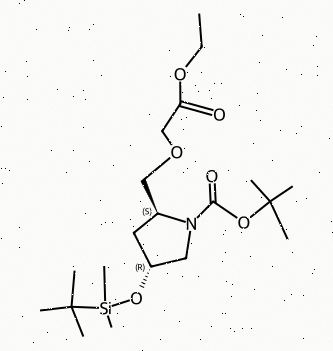 CCOC(=O)COC[C@@H]1C[C@@H](O[Si](C)(C)C(C)(C)C)CN1C(=O)OC(C)(C)C